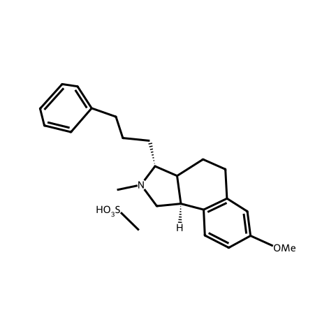 COc1ccc2c(c1)CCC1[C@@H]2CN(C)[C@@H]1CCCc1ccccc1.CS(=O)(=O)O